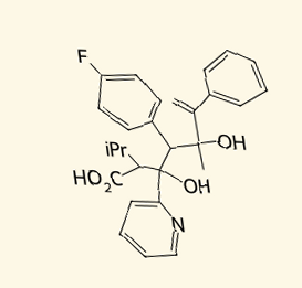 C=C(c1ccccc1)C(C)(O)C(c1ccc(F)cc1)C(O)(c1ccccn1)C(C(=O)O)C(C)C